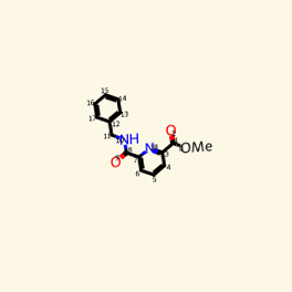 COC(=O)c1cccc(C(=O)NCc2ccccc2)n1